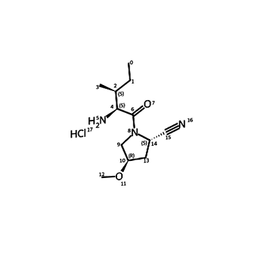 CC[C@H](C)[C@H](N)C(=O)N1C[C@H](OC)C[C@H]1C#N.Cl